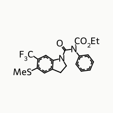 CCOC(=O)N(C(=O)N1CCc2cc(SC)c(C(F)(F)F)cc21)c1ccccc1